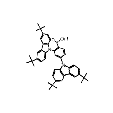 CC(C)(C)c1ccc2c(c1)c1cc(C(C)(C)C)ccc1n2-c1ccc(B(O)O)c(-n2c3ccc(C(C)(C)C)cc3c3cc(C(C)(C)C)ccc32)c1